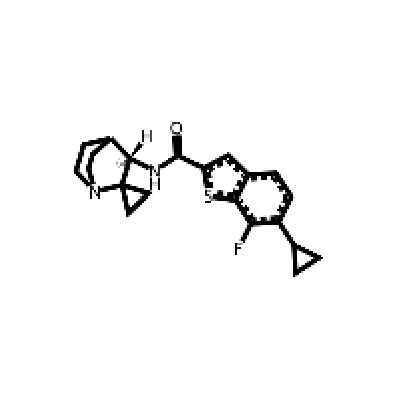 O=C(N[C@H]1C2CCN(CC2)C12CC2)c1cc2ccc(C3CC3)c(F)c2s1